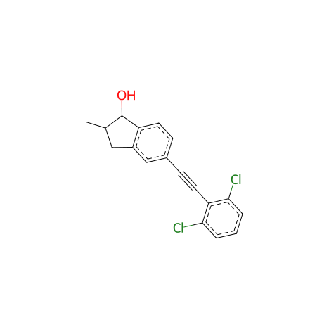 CC1Cc2cc(C#Cc3c(Cl)cccc3Cl)ccc2C1O